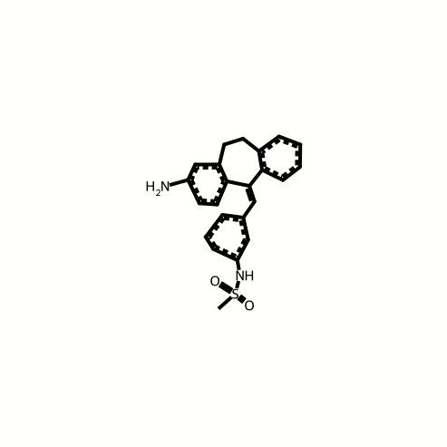 CS(=O)(=O)Nc1cccc(/C=C2/c3ccccc3CCc3cc(N)ccc32)c1